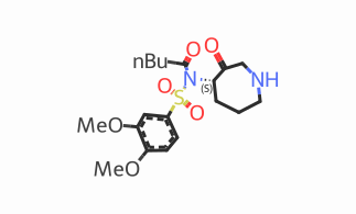 [CH2]CCCC(=O)N([C@H]1CCCNCC1=O)S(=O)(=O)c1ccc(OC)c(OC)c1